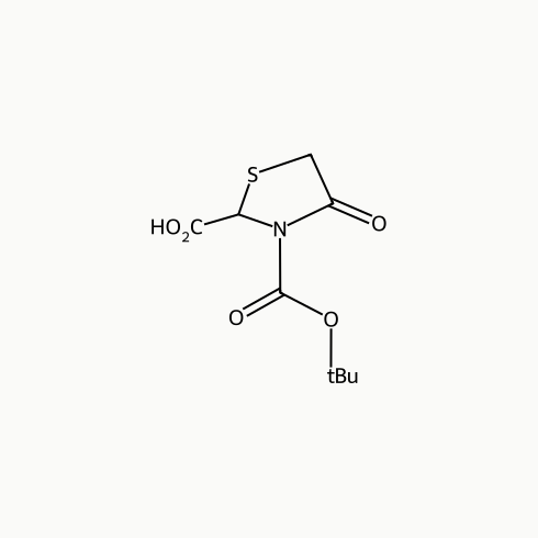 CC(C)(C)OC(=O)N1C(=O)CSC1C(=O)O